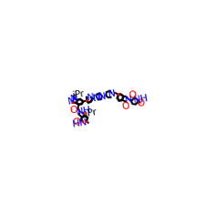 CCCc1cc(C)[nH]c(=O)c1CNC(=O)c1cc(-c2ccc(N3CCN(C4CCN(Cc5ccc6c(c5)CN(C5CCC(=O)NC5=O)C6=O)CC4)CC3)nc2)cc2c1cnn2C(C)C